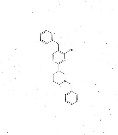 Cc1nc(C2CCCN(Cc3ccccc3)C2)ccc1Oc1ccccc1